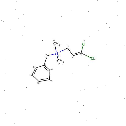 C[N+](C)(CC=C(Cl)Cl)Cc1ccccc1